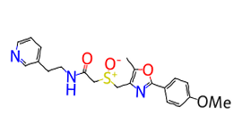 COc1ccc(-c2nc(C[S+]([O-])CC(=O)NCCc3cccnc3)c(C)o2)cc1